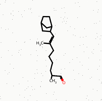 C/C(=C\C1CC2CCC1C2)CCCCC(C)C=O